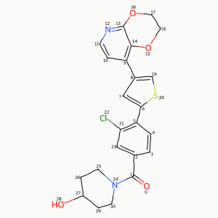 O=C(c1ccc(-c2cc(-c3ccnc4c3OCCO4)cs2)c(Cl)c1)N1CCC(O)CC1